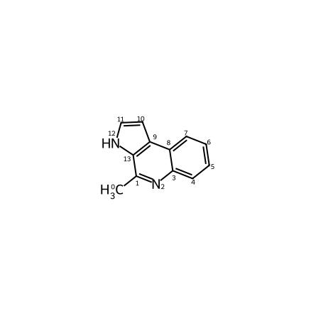 Cc1nc2ccccc2c2cc[nH]c12